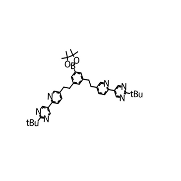 CC(C)(C)c1ncc(-c2ccc(CCc3cc(CCc4ccc(-c5cnc(C(C)(C)C)nc5)nc4)cc(B4OC(C)(C)C(C)(C)O4)c3)cn2)cn1